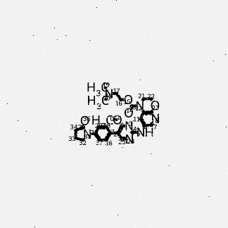 COc1nc(Nc2cnc3c(c2)N(C(=O)OCCN(C)C)CCO3)ncc1-c1ccc(N2CCCC2=O)cc1